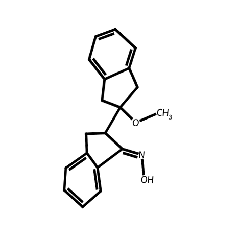 COC1(C2Cc3ccccc3C2=NO)Cc2ccccc2C1